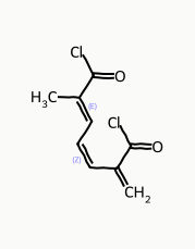 C=C(/C=C\C=C(/C)C(=O)Cl)C(=O)Cl